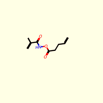 C=CCCC(=O)ONC(=O)C(=C)C